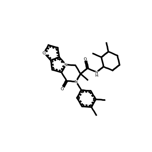 Cc1ccc(N2C(=O)c3cc4occc4n3CC2(C)C(=O)NC2CCCC(C)C2C)cc1C